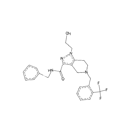 O=C(NCc1ccccc1)c1nn(CCO)c2c1CN(Cc1ccccc1C(F)(F)F)CC2